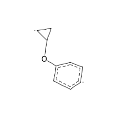 [c]1ccc(OC2[CH]C2)cc1